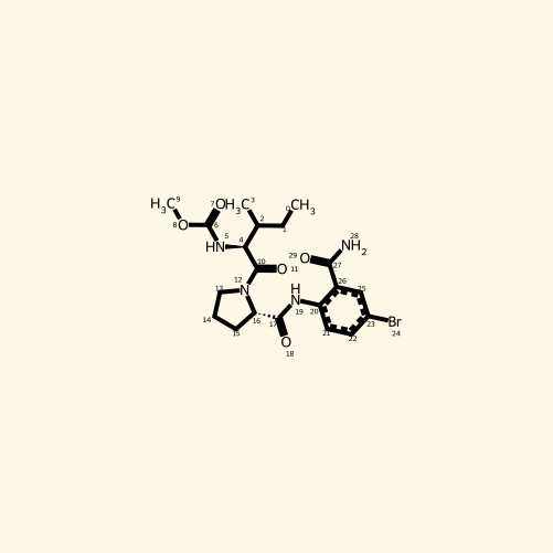 CCC(C)[C@H](NC(=O)OC)C(=O)N1CCC[C@H]1C(=O)Nc1ccc(Br)cc1C(N)=O